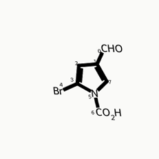 O=Cc1cc(Br)n(C(=O)O)c1